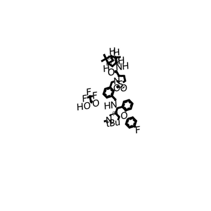 C[C@@H]1[C@@H](NC(=O)C2CCS(=O)(=O)N2Cc2cccc(CNC(c3ccccc3Oc3ccc(F)cc3)[C@H](CN(C)C)CC(C)(C)C)c2)C[C@H]2C[C@@H]1C2(C)C.O=C(O)C(F)(F)F